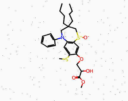 CCCCC1(CCCC)CN(c2ccccc2)c2cc(SC)c(OCC(O)C(=O)OC)cc2[S+]([O-])C1